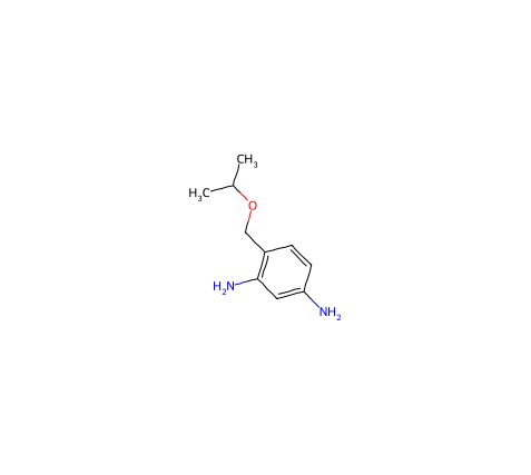 CC(C)OCc1ccc(N)cc1N